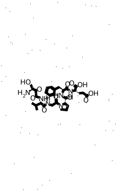 CC(C)[C@H](NC(=O)C(=O)[C@@H](N)CO)C(=O)NCC(=O)N1CCC[C@H]1C(=O)N[C@@H](Cc1ccccc1)C(=O)N[C@@H](CCC(=O)O)C(=O)O